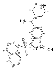 Cl.Cl.NC(c1ccc2cnn(S(=O)(=O)c3cccc4ccccc34)c2c1)C1CCNCC1